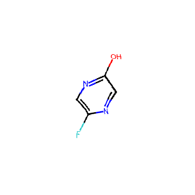 Oc1cnc(F)cn1